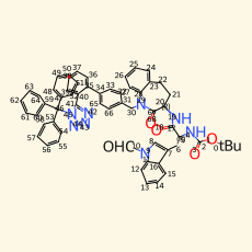 CC(C)(C)OC(=O)N[C@H](Cc1cn(C=O)c2ccccc12)C(=O)N[C@@H]1CCc2ccccc2N(Cc2ccc(-c3ccccc3-c3nnnn3C(c3ccccc3)(c3ccccc3)c3ccccc3)cc2)C1=O